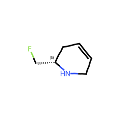 FC[C@@H]1CC=CCN1